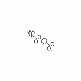 COC(=O)c1ccc(OC(=O)N2CCN3CCC2CC3)cc1